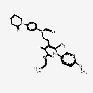 CCOC(=O)C(=N)/C(CCN(C=O)c1ccc(N2CCCCC2=O)cc1)=C(/C)Nc1ccc(OC)nc1